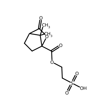 CC1(C)C2CCC1(C(=O)OCCS(=O)(=O)O)OC2=O